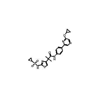 CC(C)(C(=O)Nc1ccc(-c2cncc(OC3CC3)n2)cc1)c1csc(NS(=O)(=O)C2CC2)n1